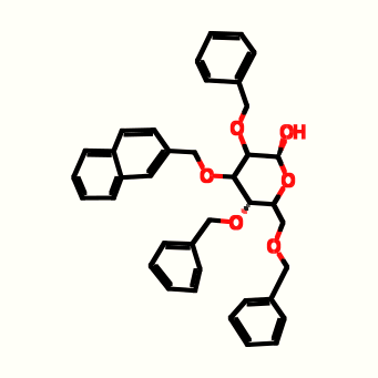 O[C@H]1OC(COCc2ccccc2)[C@H](OCc2ccccc2)C(OCc2ccc3ccccc3c2)C1OCc1ccccc1